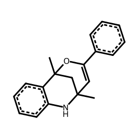 CC12C=C(c3ccccc3)OC(C)(C1)c1ccccc1N2